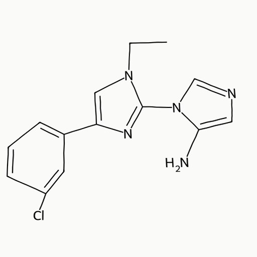 CCn1cc(-c2cccc(Cl)c2)nc1-n1cncc1N